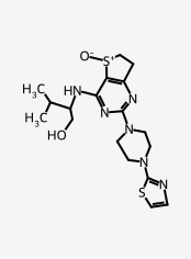 CC(C)C(CO)Nc1nc(N2CCN(c3nccs3)CC2)nc2c1[S+]([O-])CC2